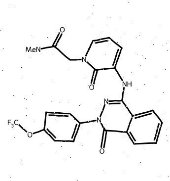 CNC(=O)Cn1cccc(Nc2nn(-c3ccc(OC(F)(F)F)cc3)c(=O)c3ccccc23)c1=O